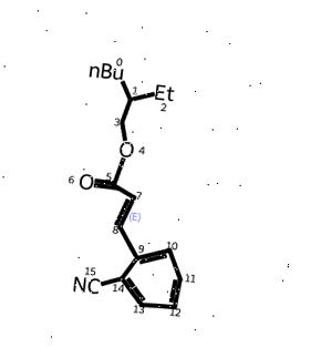 CCCCC(CC)COC(=O)/C=C/c1ccccc1C#N